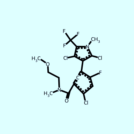 COCCN(C)C(=O)c1cc(-c2c(Cl)c(C(F)(F)F)n(C)c2Cl)c(F)cc1Cl